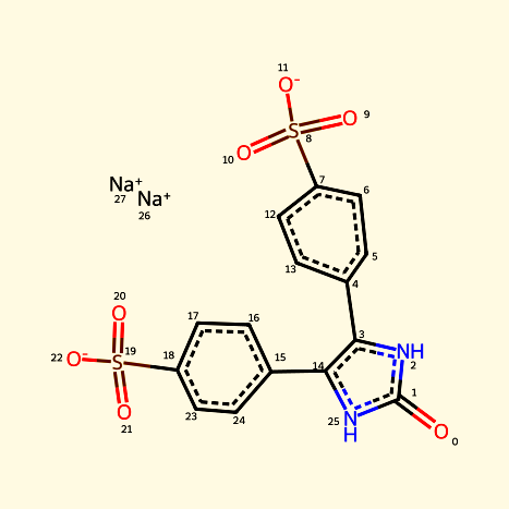 O=c1[nH]c(-c2ccc(S(=O)(=O)[O-])cc2)c(-c2ccc(S(=O)(=O)[O-])cc2)[nH]1.[Na+].[Na+]